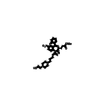 COC(=O)CC[C@@H]1N=C(c2ccccc2F)c2cc([N+](=O)[O-])ccc2-n2c(SCCCN3CCN(CCO)CC3)nnc21